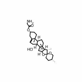 C[C@@H]1CC[C@@]2(OC1)O[C@H]1C[C@H]3[C@@H]4CC=C5C[C@@H](OC(=O)CN)CC[C@]5(C)[C@H]4CC[C@]3(C)[C@H]1[C@@H]2C.Cl